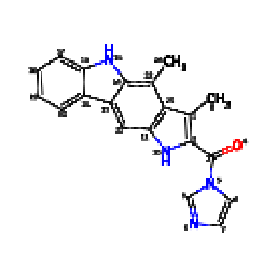 Cc1c(C(=O)n2ccnc2)[nH]c2cc3c([nH]c4ccccc43)c(C)c12